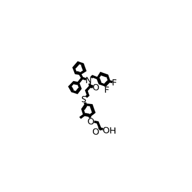 Cc1cc(SCCC(=O)N(Cc2ccc(F)c(F)c2)C(c2ccccc2)c2ccccc2)ccc1OCC(=O)O